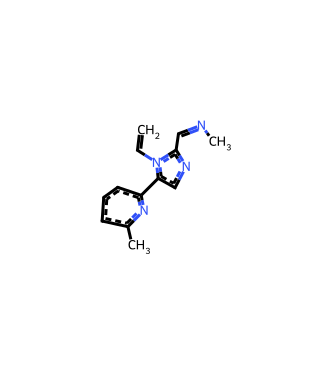 C=Cn1c(-c2cccc(C)n2)cnc1/C=N\C